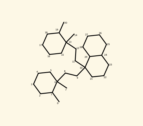 CC1CCCCC1(C)CCC1(CCC2(C)CCCCC2C)CCCC2CCCCC21